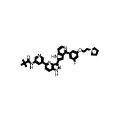 CC(C)(C)C(=O)Nc1cncc(-c2ccc3[nH]nc(-c4cc5c(-c6cc(F)cc(OCCN7CCCC7)c6)nccc5[nH]4)c3n2)c1